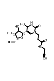 C#CCNC(=O)CCN1C=C([C@@H]2O[C@H](CO)[C@H](O)C2O)C(O)NC1=O